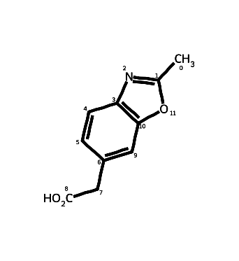 Cc1nc2ccc(CC(=O)O)cc2o1